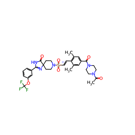 CC(=O)N1CCN(C(=O)c2cc(C)c(/C=C/S(=O)(=O)N3CCC4(CC3)N=C(c3cccc(OC(F)(F)F)c3)NC4=O)c(C)c2)CC1